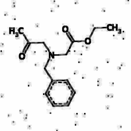 CCOC(=O)CN(CC(C)=O)Cc1ccccc1